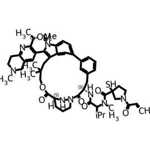 C=CC(=O)N1CCC(S)(C(=O)N(C)C(C(=O)N[C@H]2Cc3cccc(c3)-c3ccc4c(c3)c(c(-c3cc5c(nc3[C@H](C)OC)CCN(C)C5)n4CC)CC(C)(C)COC(=O)[C@@H]3CCCN(N3)C2=O)C(C)C)C1